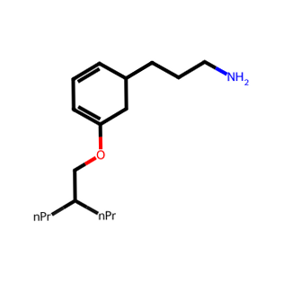 CCCC(CCC)COC1=CC=CC(CCCN)C1